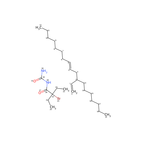 C=CC(C/C=C/CCCCCCC)CCCCCCC.CCC(Br)(CC)C(=O)NC(N)=O